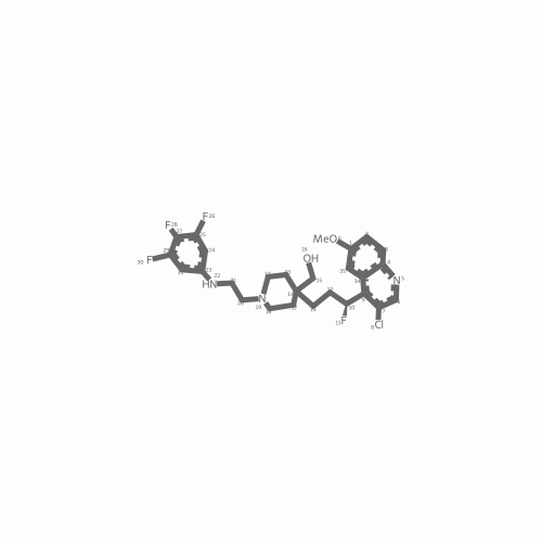 COc1ccc2ncc(Cl)c([C@@H](F)CCC3(CO)CCN(CCNc4cc(F)c(F)c(F)c4)CC3)c2c1